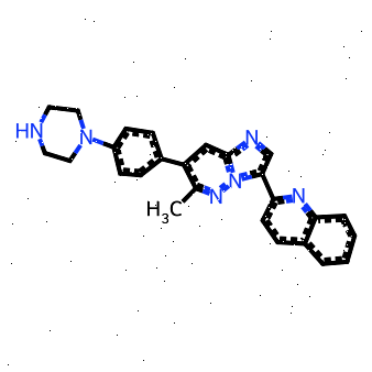 Cc1nn2c(-c3ccc4ccccc4n3)cnc2cc1-c1ccc(N2CCNCC2)cc1